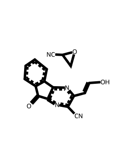 N#CC1CO1.N#Cc1nc2c(nc1C=CO)-c1ccccc1C2=O